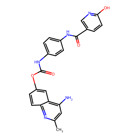 Cc1cc(N)c2cc(OC(=O)Nc3ccc(NC(=O)c4ccc(O)nc4)cc3)ccc2n1